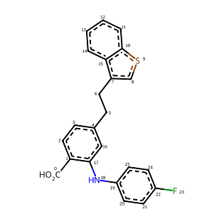 O=C(O)c1ccc(CCc2csc3ccccc23)cc1Nc1ccc(F)cc1